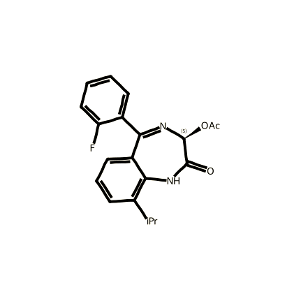 CC(=O)O[C@@H]1N=C(c2ccccc2F)c2cccc(C(C)C)c2NC1=O